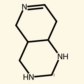 [C]1NCC2CN=CCC2N1